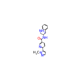 Cn1nccc1-c1ccc(C(=O)NC(CN)Cc2ccccc2)cn1